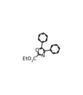 CCOC(=O)c1nc(-c2ccccc2)c(-c2ccccc2)o1